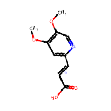 COc1cnc(/C=C/C(=O)O)cc1OC